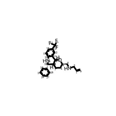 C=CCNC[C@H]1CC[C@@H]2[C@H](O1)c1cc(C(F)(F)F)ccc1N[C@H]2c1ccccc1